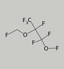 FCOC(F)(C(F)(F)F)C(F)(F)OF